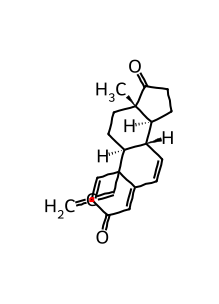 C=C=CC12C=CC(=O)C=C1C=C[C@@H]1[C@@H]2CC[C@]2(C)C(=O)CC[C@@H]12